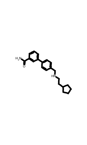 NC(=O)c1cccc(-c2ccc(CNCCC3CCCC3)cc2)c1